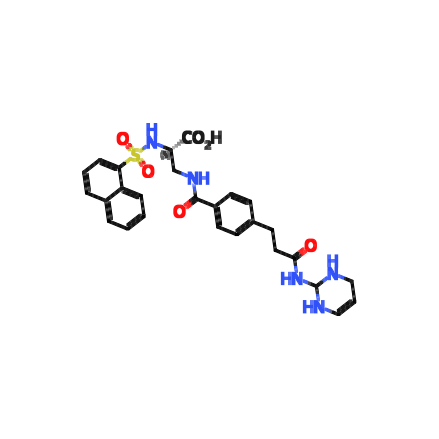 O=C(CCc1ccc(C(=O)NC[C@H](NS(=O)(=O)c2cccc3ccccc23)C(=O)O)cc1)NC1NC=CCN1